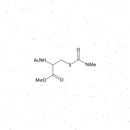 CNC(=O)SCC(NC(C)=O)C(=O)OC